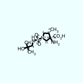 C[C@H]1CN(S(=O)(=O)NCC(C)(C)O)C[C@@]1(N)C(=O)O